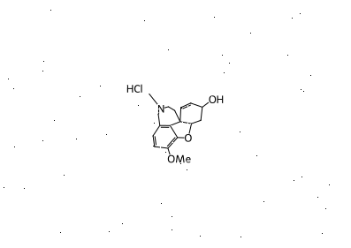 COc1ccc2c3c1OC1CC(O)C=CC31CCN(C)C2.Cl